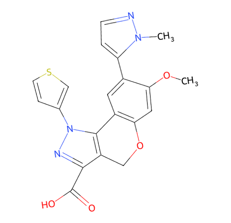 COc1cc2c(cc1-c1ccnn1C)-c1c(c(C(=O)O)nn1-c1ccsc1)CO2